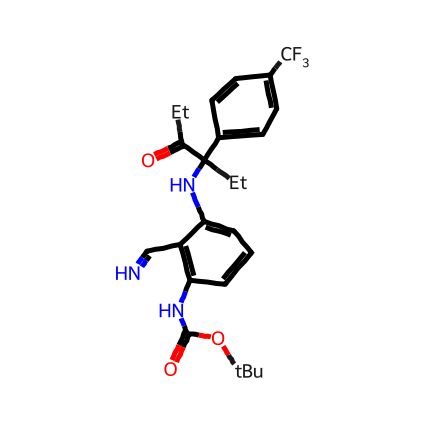 CCC(=O)C(CC)(Nc1cccc(NC(=O)OC(C)(C)C)c1C=N)c1ccc(C(F)(F)F)cc1